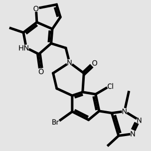 Cc1nnn(C)c1-c1cc(Br)c2c(c1Cl)C(=O)N(Cc1c(=O)[nH]c(C)c3occc13)CC2